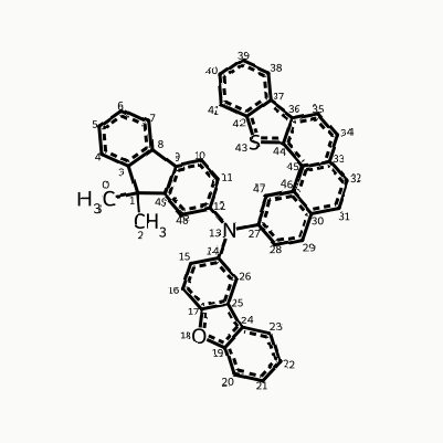 CC1(C)c2ccccc2-c2ccc(N(c3ccc4oc5ccccc5c4c3)c3ccc4ccc5ccc6c7ccccc7sc6c5c4c3)cc21